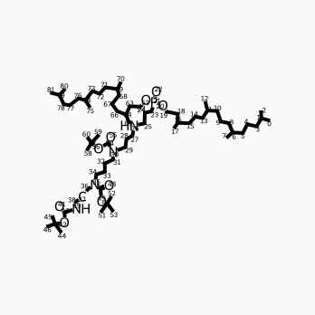 CC(C)CCCC(C)CCCC(C)CCCC(C)CCOP(=O)(CCCNCCCN(CCCCN(CCCNC(=O)OC(C)(C)C)C(=O)OC(C)(C)C)C(=O)OC(C)(C)C)OCCC(C)CCCC(C)CCCC(C)CCCC(C)C